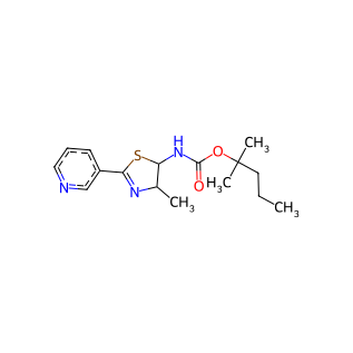 CCCC(C)(C)OC(=O)NC1SC(c2cccnc2)=NC1C